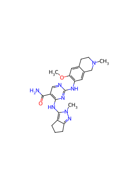 COc1cc2c(cc1Nc1ncc(C(N)=O)c(Nc3c4c(nn3C)CCC4)n1)CN(C)CC2